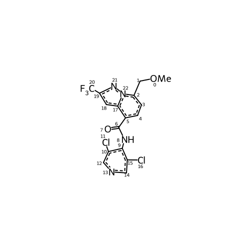 COCc1ccc(C(=O)Nc2c(Cl)cncc2Cl)c2cc(C(F)(F)F)nn12